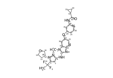 Cn1c(Nc2cc(C(C)(F)F)n([C@@H]3CCOC3)n2)nc2ncc(Oc3ccnc(NC(=O)C4CC4)c3)cc21